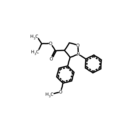 COc1ccc(C2C(C(=O)OC(C)C)CON2c2ccccc2)cc1